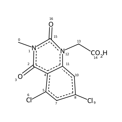 Cn1c(=O)c2c(Cl)cc(Cl)cc2n(CC(=O)O)c1=O